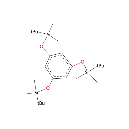 CC(C)(C)[Si](C)(C)Oc1cc(O[Si](C)(C)C(C)(C)C)cc(O[Si](C)(C)C(C)(C)C)c1